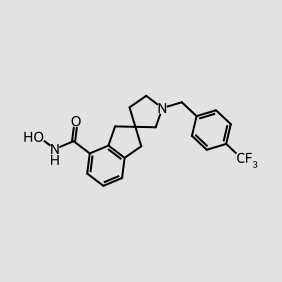 O=C(NO)c1cccc2c1CC1(CCN(Cc3ccc(C(F)(F)F)cc3)C1)C2